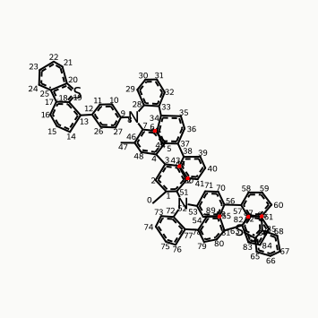 Cc1cc(-c2ccc(N(c3ccc(-c4cccc5c4sc4ccccc45)cc3)c3ccccc3-c3ccc(-c4ccccc4)cc3)c(C)c2)ccc1N(c1ccc(-c2cccc3c2sc2ccccc23)cc1)c1ccccc1-c1ccc(-c2ccccc2)cc1